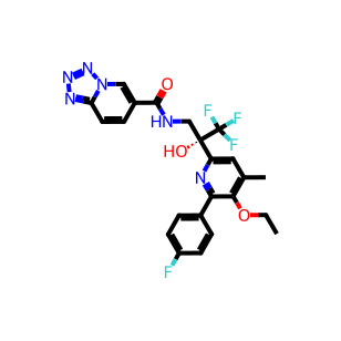 CCOc1c(C)cc([C@@](O)(CNC(=O)c2ccc3nnnn3c2)C(F)(F)F)nc1-c1ccc(F)cc1